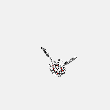 NCCNC(C(P(=O)([O-])[O-])P(=O)([O-])[O-])C(C(P(=O)([O-])[O-])P(=O)([O-])[O-])(C(P(=O)([O-])[O-])P(=O)([O-])[O-])N(C(P(=O)([O-])[O-])P(=O)([O-])[O-])C(P(=O)([O-])[O-])P(=O)([O-])[O-].[Na+].[Na+].[Na+].[Na+].[Na+].[Na+].[Na+].[Na+].[Na+].[Na+].[Na+].[Na+].[Na+].[Na+].[Na+].[Na+].[Na+].[Na+].[Na+].[Na+]